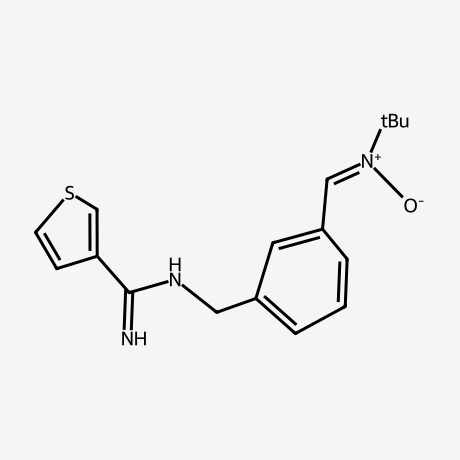 CC(C)(C)/[N+]([O-])=C/c1cccc(CNC(=N)c2ccsc2)c1